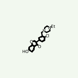 CCN1CCN(Cc2cc(-c3coc4cc(O)ccc4c3=O)ccc2Cl)CC1